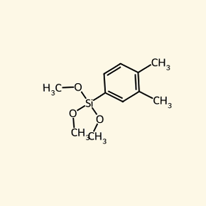 CO[Si](OC)(OC)c1ccc(C)c(C)c1